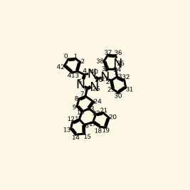 c1ccc(-c2nc(-c3ccc4c5ccccc5c5ccccc5c4c3)nc(-n3c4ccccc4c4ncccc43)n2)cc1